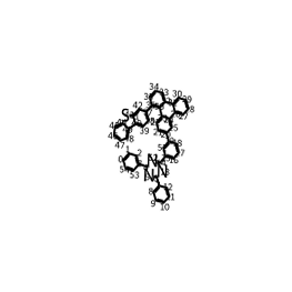 c1ccc(-c2nc(-c3ccccc3)nc(-c3cccc(-c4ccc5c(c4)c4ccccc4c4cccc(-c6ccc7c(c6)sc6ccccc67)c45)c3)n2)cc1